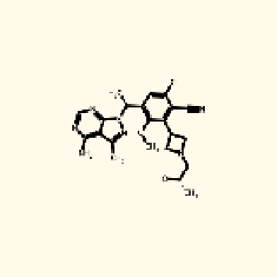 COc1c([C@H](C)n2nc(C)c3c(N)ncnc32)cc(Cl)c(C#N)c1C1CN(C[C@H](C)O)C1